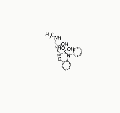 CNC[C@@H](O)C[C@@H]1Oc2ccccc2N(c2ccccc2)S1(O)O